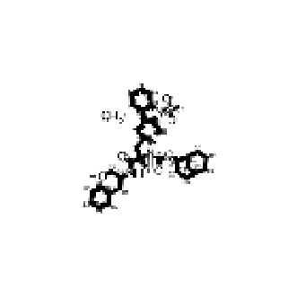 CC(Cc1cc2c3ccccc3n(S(C)(=O)=O)c2cn1)(NC(=O)OC1CCC2CCCC1C2)C(=O)NC(CO)Cc1ccccc1.[CH2]